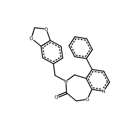 O=C1COc2nccc(-c3ccccc3)c2CN1Cc1ccc2c(c1)OCO2